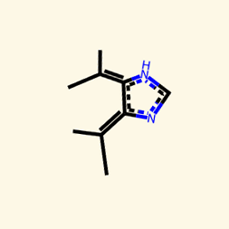 CC(C)=c1nc[nH]c1=C(C)C